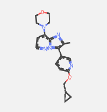 Cc1nc2c(N3CCOCC3)ccnn2c1-c1ccc(OCC2CC2)nc1